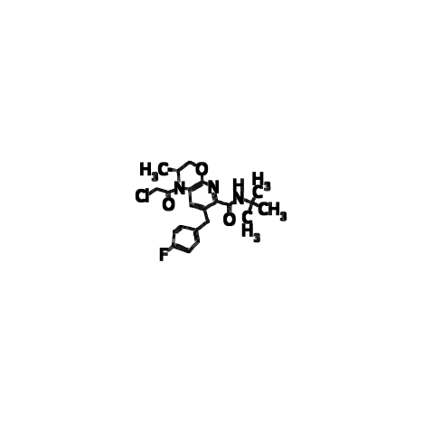 C[C@H]1COc2nc(C(=O)NC(C)(C)C)c(Cc3ccc(F)cc3)cc2N1C(=O)CCl